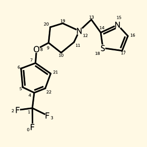 FC(F)(F)c1ccc(OC2CCN(Cc3nc[c]s3)CC2)cc1